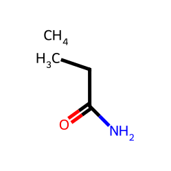 C.CCC(N)=O